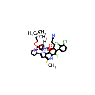 CSc1nc2c(F)c(-c3cccc(Cl)c3Cl)c(CCC#N)cc2c2c1cc([C@H]1CCCN1C(=O)OCC[Si](C)(C)C)n2[C@H]1[C@@H]2C[C@H]1N(C(=O)O)C2